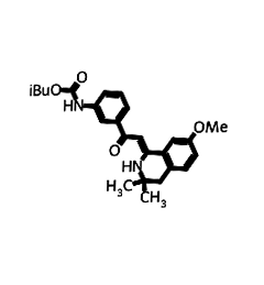 COc1ccc2c(c1)C(=CC(=O)c1cccc(NC(=O)OCC(C)C)c1)NC(C)(C)C2